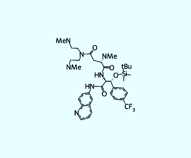 CNCCN(CCNC)C(=O)C[C@H](NC)C(=O)N[C@H](C(=O)Nc1ccc2ncccc2c1)[C@H](O[Si](C)(C)C(C)(C)C)c1ccc(C(F)(F)F)cc1